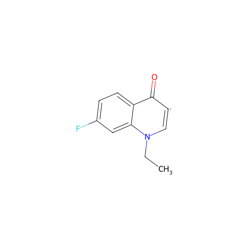 CCn1c[c]c(=O)c2ccc(F)cc21